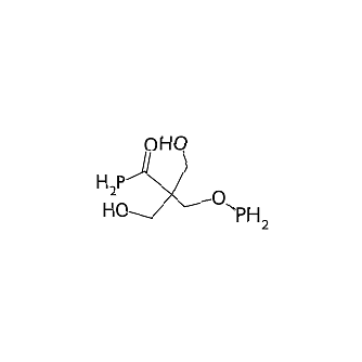 O=C(P)C(CO)(CO)COP